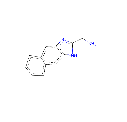 NCc1nc2cc3ccccc3cc2[nH]1